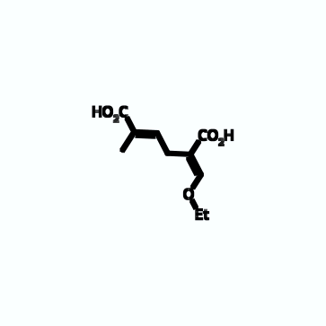 CCOC=C(CC=C(C)C(=O)O)C(=O)O